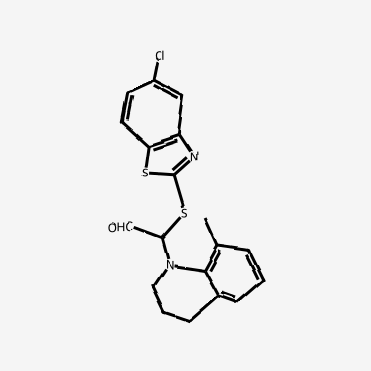 Cc1cccc2c1N(C(C=O)Sc1nc3cc(Cl)ccc3s1)CCC2